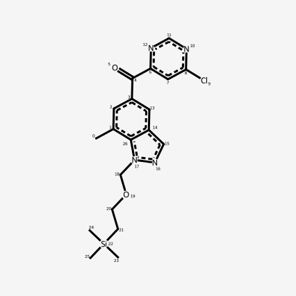 Cc1cc(C(=O)c2cc(Cl)ncn2)cc2cnn(COCC[Si](C)(C)C)c12